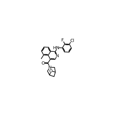 Cc1cccc2c(Nc3cccc(Cl)c3F)ncc(C(=O)N3CC4CC(C3)O4)c12